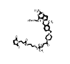 CCCCCNc1nc(N)nc2ccn(Cc3ccc(CN4CCN(C(=O)CCC(C)(C)SSCCNC(=O)CCN5C(=O)C=CC5=O)CC4)cc3C)c12